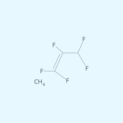 C.FC(F)=C(F)C(F)F